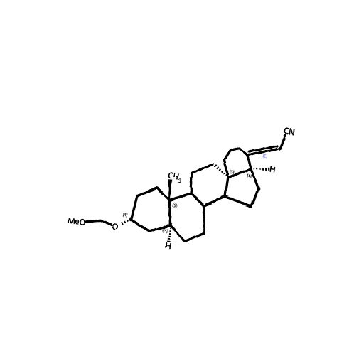 COCO[C@@H]1CC[C@]2(C)C3CC[C@]45CCC/C(=C\C#N)[C@H]4CCC5C3CC[C@H]2C1